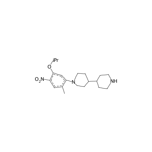 Cc1cc([N+](=O)[O-])c(OC(C)C)cc1N1CCC(C2CCNCC2)CC1